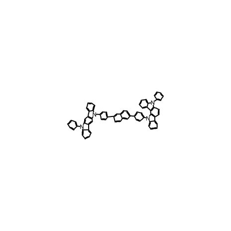 c1ccc(-n2c3ccccc3c3cc4c(cc32)c2ccccc2n4-c2ccc(-c3ccc4cc(-c5ccc(-n6c7ccccc7c7ccc8c(c9ccccc9n8-c8ccccc8)c76)cc5)ccc4c3)cc2)cc1